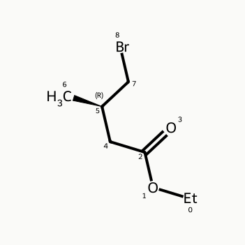 CCOC(=O)C[C@@H](C)CBr